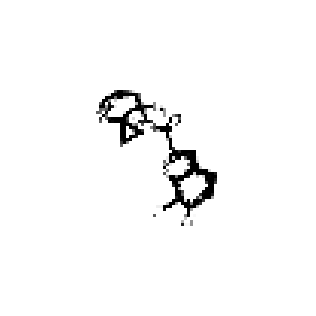 O=C(N[C@H]1C2CCN(CC2)C12CC2)c1cc2ccc(Cl)c(F)c2s1